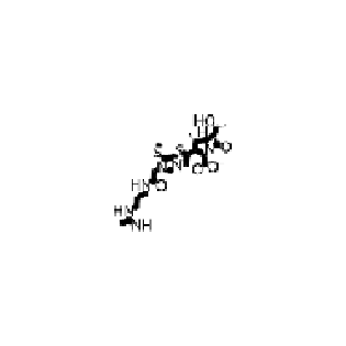 CSc1c2sc(C3=C(C(=O)[O-])N4C(=O)[C@H]([C@@H](C)O)[C@H]4[C@H]3C)c[n+]2cn1CC(=O)NCCCNC(C)=N